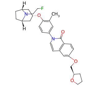 Cc1cc(-n2ccc3cc(OC[C@H]4CCCO4)ccc3c2=O)ccc1O[C@H]1C[C@H]2CC[C@@H](C1)N2CCF